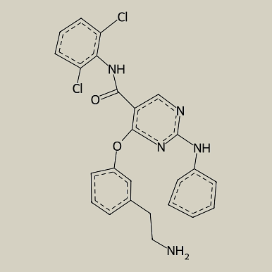 NCCc1cccc(Oc2nc(Nc3ccccc3)ncc2C(=O)Nc2c(Cl)cccc2Cl)c1